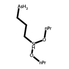 CCCO[SiH](CCC[AsH2])OCCC